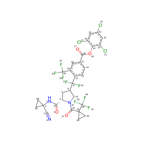 N#CC1(NC(=O)[C@@H]2CC(C(F)(F)c3ccc(C(=O)Oc4c(Cl)cc(Cl)cc4Cl)cc3C(F)(F)F)CN2C(=O)C2(C(F)(F)F)CC2)CC1